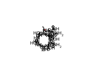 CCCCCCCCCC(=O)N[C@@H](Cc1c[nH]c2ccccc12)C(=O)N[C@@H](CC(N)=O)C(=O)N[C@@H](CC(=O)O)C(=O)N[C@H]1COC(=O)[C@H](CCC(=O)c2ccccc2N)NC(=O)[C@H]([C@@H](C)CC(=O)O)NC(=O)[C@@H](CCO)NC(=O)CNC(=O)[C@H](CC(=O)O)NC(=O)[C@@H](C)NC(=O)[C@H](CC(=O)O)NC(=O)[C@H](CCCN)NC(=O)CNC1=O